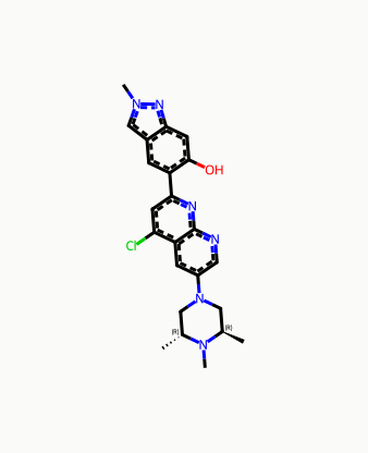 C[C@@H]1CN(c2cnc3nc(-c4cc5cn(C)nc5cc4O)cc(Cl)c3c2)C[C@@H](C)N1C